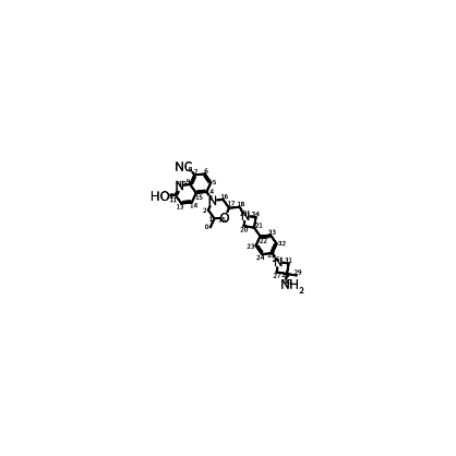 CC1CN(c2ccc(C#N)c3nc(O)ccc23)CC(CN2CC(c3ccc(N4CC(C)(N)C4)cc3)C2)O1